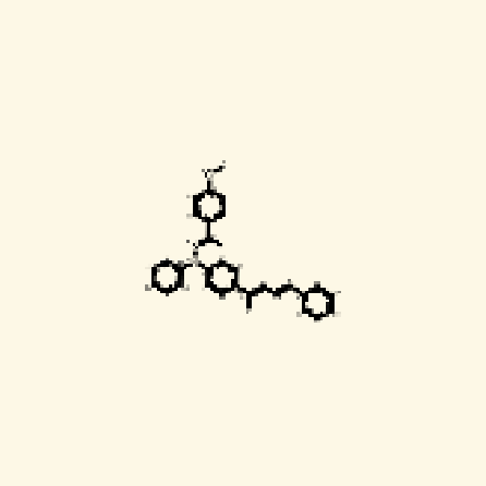 COc1ccc(/C(C)=N/N(c2ccccc2)c2ccc(C(C)=CC=Cc3ccccc3)cc2)cc1